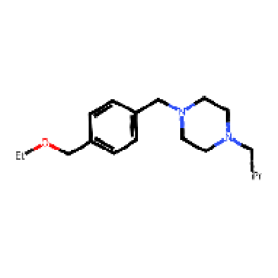 CCOCc1ccc(CN2CCN(CC(C)C)CC2)cc1